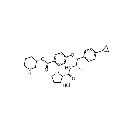 C[C@H](NC(=O)[C@@H]1CCCO1)[C@H](Oc1ccc(C(=O)O[C@H]2CCCNC2)cc1)c1ccc(C2CC2)cc1.Cl